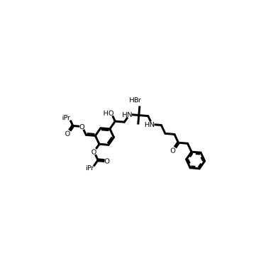 Br.CC(C)C(=O)OC=C1C=C(C(O)CNC(C)(C)CNCCCC(=O)Cc2ccccc2)C=CC1OC(=O)C(C)C